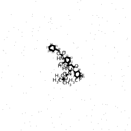 CC1CC(N2C(=O)C[C@@](C)(c3cccc(NC(=O)OCc4ccccc4)c3Cl)N/C2=N\C(=O)OC(C)(C)C)CCC1(F)F